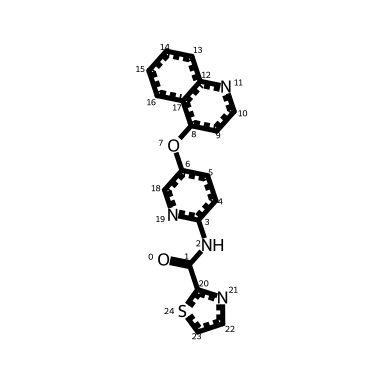 O=C(Nc1ccc(Oc2ccnc3ccccc23)cn1)c1nccs1